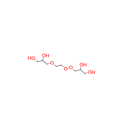 OCC(O)COCCOOCC(O)CO